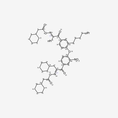 CCC/C(=N\OC(=O)CC1CCCCC1)C(=O)c1ccc(Oc2ccc(C(=O)/C(CC3CCCCC3)=N/OC(=O)CC3CCCCC3)cc2[N+](=O)[O-])c(CCCCC(C)C)c1